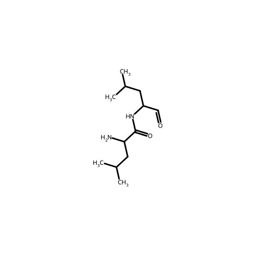 CC(C)CC(C=O)NC(=O)C(N)CC(C)C